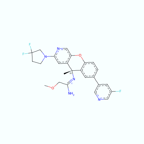 COC/C(N)=N\[C@@]1(C)c2cc(-c3cncc(F)c3)ccc2Oc2cnc(N3CCC(F)(F)C3)cc21